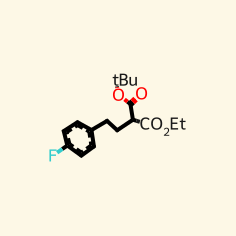 CCOC(=O)C(CCc1ccc(F)cc1)C(=O)OC(C)(C)C